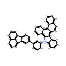 c1cc(-c2ccc3c(c2)-c2cccc4cccc-3c24)cc(-n2c3ccccc3c3c4ccc5ccccc5c4c4ccccc4c32)c1